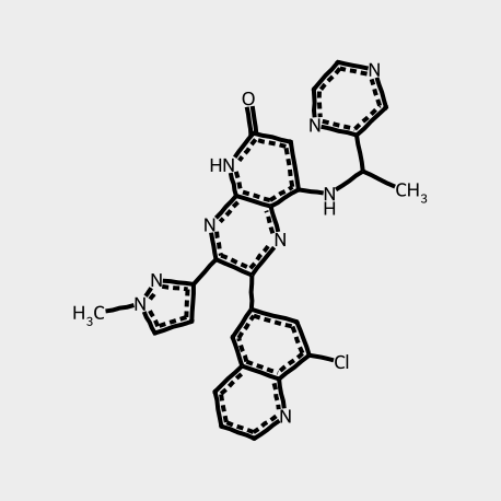 CC(Nc1cc(=O)[nH]c2nc(-c3ccn(C)n3)c(-c3cc(Cl)c4ncccc4c3)nc12)c1cnccn1